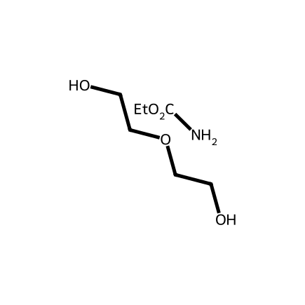 CCOC(N)=O.OCCOCCO